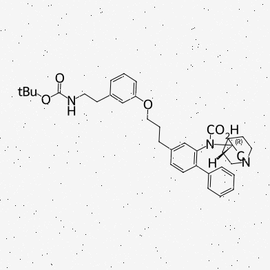 CC(C)(C)OC(=O)NCCc1cccc(OCCCc2ccc(-c3ccccc3)c(N(C(=O)O)[C@H]3CN4CCC3CC4)c2)c1